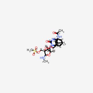 CNC1O[C@H]2[C@H](n3cc(C)c(NC(C)=O)nc3=O)O[C@]1(COS(C)(=O)=O)[C@H]2OCc1ccccc1